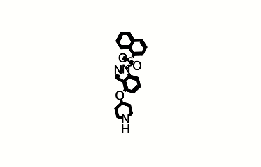 O=S(=O)(c1cccc2ccccc12)n1ncc2c(OC3CCNCC3)cccc21